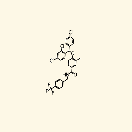 Cc1cc(C(=O)NCc2ccc(C(F)(F)F)cc2)ccc1OC(c1ccc(Cl)cc1)c1ccc(Cl)cc1Cl